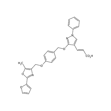 Cc1oc(-c2ccco2)nc1COc1ccc(COc2nn(-c3ccccc3)cc2C=CC(=O)O)cc1